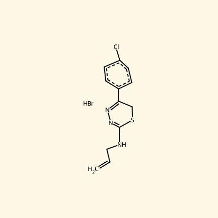 Br.C=CCNC1=NN=C(c2ccc(Cl)cc2)CS1